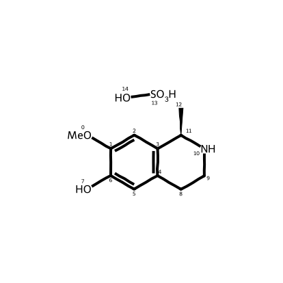 COc1cc2c(cc1O)CCN[C@@H]2C.O=S(=O)(O)O